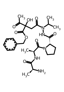 CC(=O)C(O)(CC(=O)N(NC(=O)[C@@H]1CCCN1C(=O)[C@H](C)NC(=O)[C@H](C)N)C(C)C)C(=O)OCc1ccccc1